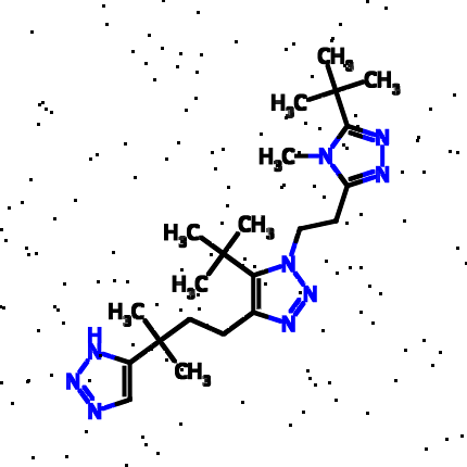 Cn1c(CCn2nnc(CCC(C)(C)c3cnn[nH]3)c2C(C)(C)C)nnc1C(C)(C)C